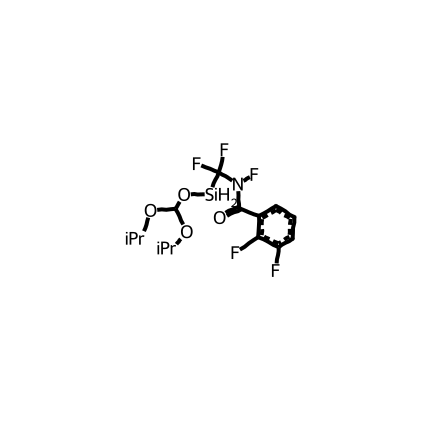 CC(C)OC(O[SiH2]C(F)(F)N(F)C(=O)c1cccc(F)c1F)OC(C)C